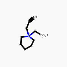 C#CC[N+]1(CC(=O)O)CCCCC1